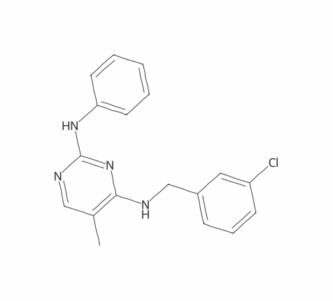 Cc1cnc(Nc2ccccc2)nc1NCc1cccc(Cl)c1